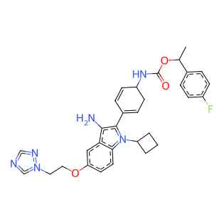 CC(OC(=O)NC1C=CC(c2c(N)c3cc(OCCn4cncn4)ccc3n2C2CCC2)=CC1)c1ccc(F)cc1